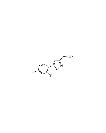 CC(=O)OCc1cc(-c2ccc(F)cc2F)on1